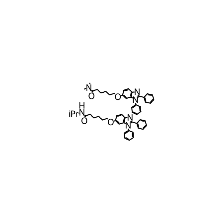 CC(C)NC(=O)CCCCCOc1ccc2nc(-c3ccccc3)n(-c3ccccc3)c2c1.CN(C)C(=O)CCCCCOc1ccc2nc(-c3ccccc3)n(-c3ccccc3)c2c1